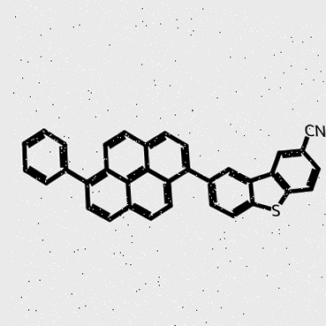 N#Cc1ccc2sc3ccc(-c4ccc5ccc6c(-c7ccccc7)ccc7ccc4c5c76)cc3c2c1